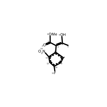 COC(=O)/C(=C(/C)O)c1ccc(F)cc1[N+](=O)[O-]